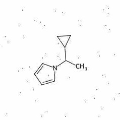 CC(C1CC1)n1cccc1